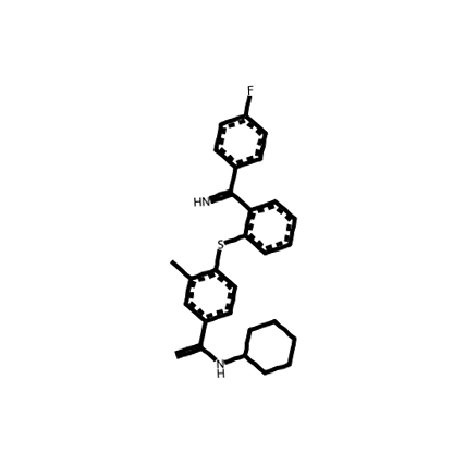 C=C(NC1CCCCC1)c1ccc(Sc2ccccc2C(=N)c2ccc(F)cc2)c(C)c1